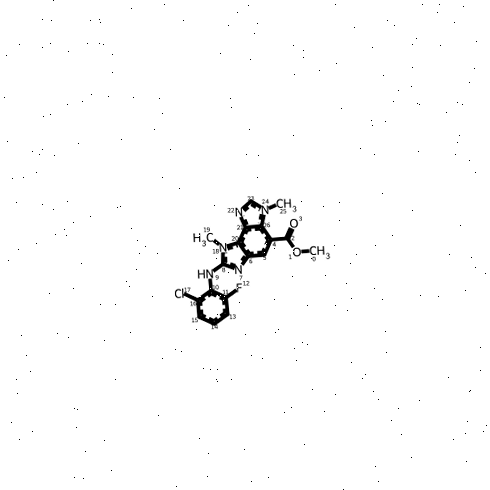 COC(=O)c1cc2nc(Nc3c(F)cccc3Cl)n(C)c2c2ncn(C)c12